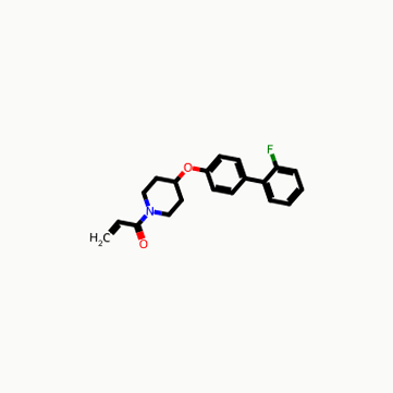 C=CC(=O)N1CCC(Oc2ccc(-c3ccccc3F)cc2)CC1